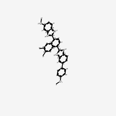 COc1ccc(-c2ccc3nc(-c4ccc(-c5nc6ccc(OC)cc6o5)c5cc(C)c(C)cc45)oc3c2)cc1